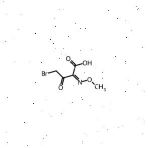 CO/N=C(\C(=O)O)C(=O)CBr